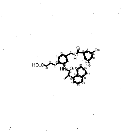 CC(C(=O)Nc1cc(CNC(=O)c2cc(F)cc(F)c2)ccc1CCCC(=O)O)c1cccc2ccccc12